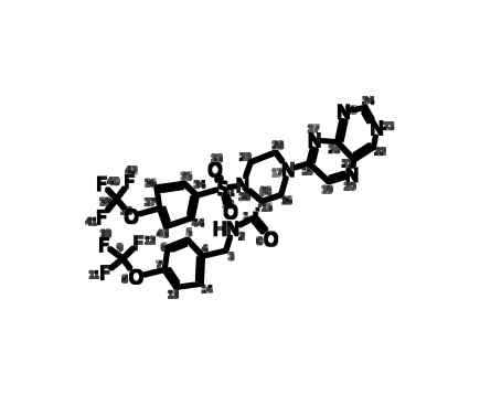 O=C(NCc1ccc(OC(F)(F)F)cc1)[C@H]1CN(c2cnc3cncnc3n2)CCN1S(=O)(=O)c1ccc(OC(F)(F)F)cc1